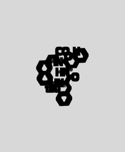 CC(C)(C)N[C@H](Cc1ccccc1)C(=O)N[C@H](Cc1ccccc1)C(=O)N[C@H](Cc1ccc2ccccc2c1)C(=O)O